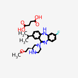 COCC[C@H]1CN(C2=Nc3ccc(F)cc3Nc3ccc(C(C)C)cc32)CCN1.O=C(O)CCC(=O)O